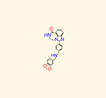 O=C1NCCn2c(-c3ccc(CNCc4ccc5c(c4)OCO5)cc3)nc3cccc1c32